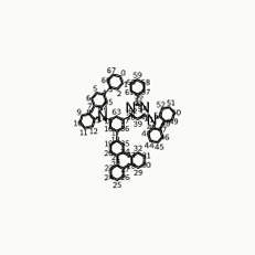 c1ccc(-c2ccc3c4ccccc4n(-c4cc(-c5ccc6c7ccccc7c7ccccc7c6c5)cc(-c5cc(-n6c7ccccc7c7ccccc76)nc(-c6ccccc6)n5)c4)c3c2)cc1